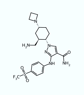 NC[C@H]1C[C@H](N2CCC2)CC[C@@H]1n1cc(C(N)=O)c(Nc2ccc(S(=O)(=O)C(F)(F)F)cc2)n1